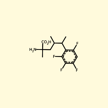 CC(CC(C)(N)C(=O)O)C(C)c1c(F)cc(F)c(F)c1F